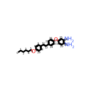 CCCCCCOc1ccc(C=Cc2ccc(Oc3ccc(N)c(N)c3)cc2)cc1